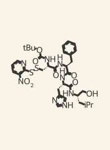 CC(C)C[C@@H](CO)NC(=O)[C@H](Cc1c[nH]cn1)NC(=O)[C@H](Cc1ccccc1)NC(=O)[C@H](CSSc1ncccc1[N+](=O)[O-])NC(=O)OC(C)(C)C